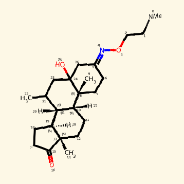 CNCCON=C1CC[C@]2(C)[C@@H]3CC[C@]4(C)C(=O)CC[C@H]4[C@@H]3C(C)CC2(O)C1